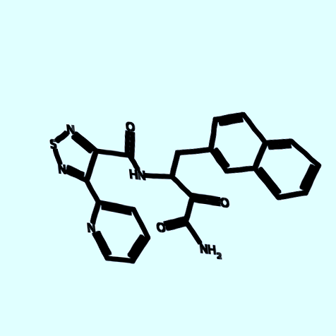 NC(=O)C(=O)C(Cc1ccc2ccccc2c1)NC(=O)c1nsnc1-c1ccccn1